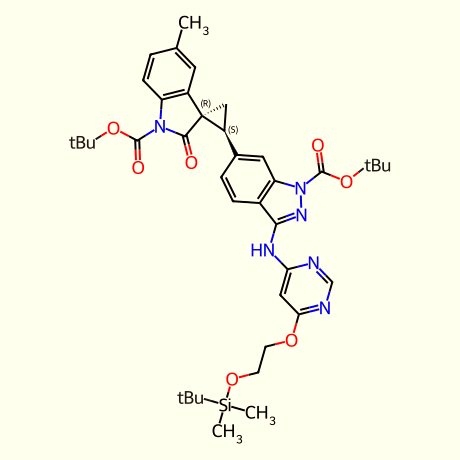 Cc1ccc2c(c1)[C@]1(C[C@H]1c1ccc3c(Nc4cc(OCCO[Si](C)(C)C(C)(C)C)ncn4)nn(C(=O)OC(C)(C)C)c3c1)C(=O)N2C(=O)OC(C)(C)C